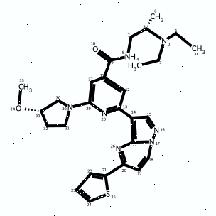 CCN(CC)[C@@H](C)CNC(=O)c1cc(-c2cnn3ccc(-c4cccs4)nc23)nc(N2CC[C@H](OC)C2)c1